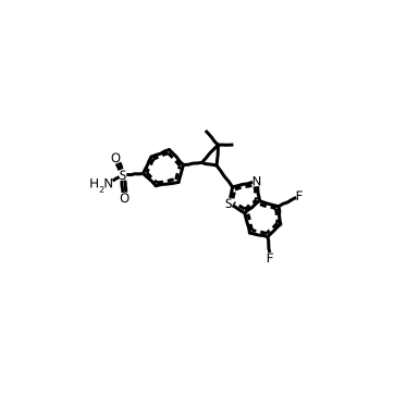 CC1(C)C(c2ccc(S(N)(=O)=O)cc2)C1c1nc2c(F)cc(F)cc2s1